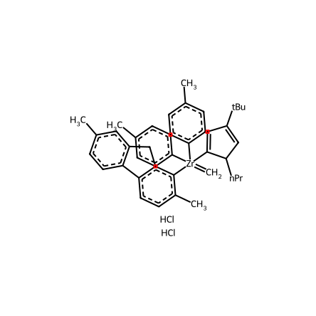 Cl.Cl.[CH2]=[Zr]([C]1=CC(C(C)(C)C)=CC1CCC)([c]1ccc(C)cc1)([c]1ccc(C)cc1)[c]1c(C)ccc2c1Cc1cc(C)ccc1-2